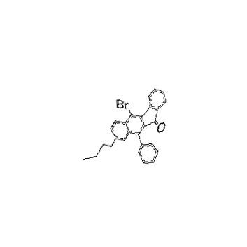 CCCCc1ccc2c(Br)c3c(c(-c4ccccc4)c2c1)C(=O)c1ccccc1-3